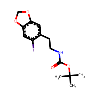 CC(C)(C)OC(=O)NCCc1cc2c(cc1I)OCO2